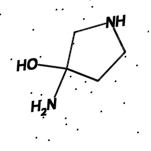 NC1(O)CCNC1